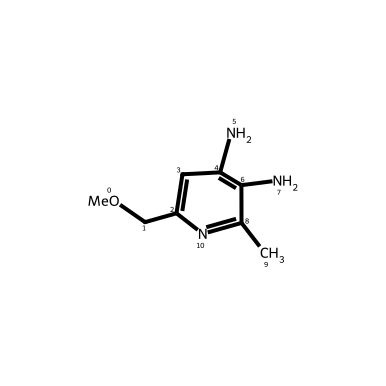 COCc1cc(N)c(N)c(C)n1